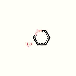 O.b1ccccc1